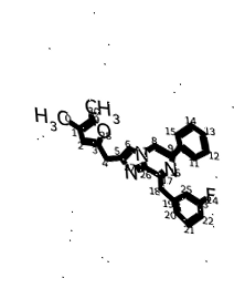 Cc1cc(Cc2cn3cc(-c4ccccc4)nc(Cc4cccc(F)c4)c3n2)oc1C